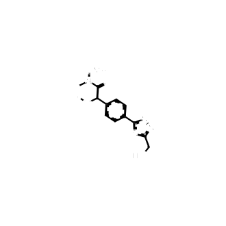 CCOC(C(=O)N(C)OC)c1ccc(-c2nnc(CO)s2)cc1